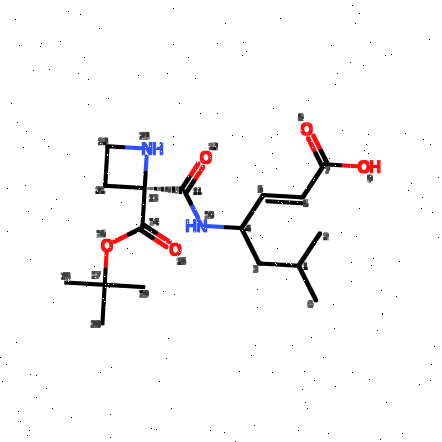 CC(C)CC(C=CC(=O)O)NC(=O)[C@]1(C(=O)OC(C)(C)C)CCN1